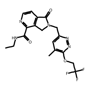 CCNC(=O)c1nccc2c1CN(Cc1cc(C)c(OCC(F)(F)F)nn1)C2=O